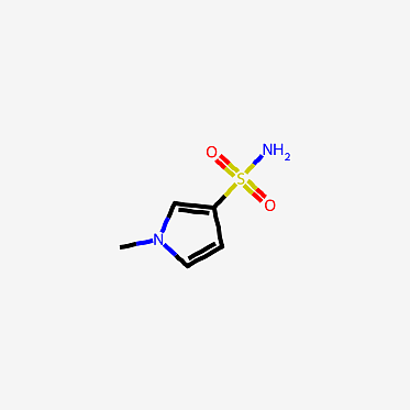 Cn1ccc(S(N)(=O)=O)c1